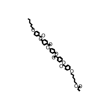 C=CC(=O)OCCCCCCOc1ccc(C(=O)Oc2ccc(C(=O)Oc3ccc(OC(=O)c4ccc(OC(=O)c5ccc(OCCCCCC)cc5)cc4)cc3)cc2)cc1